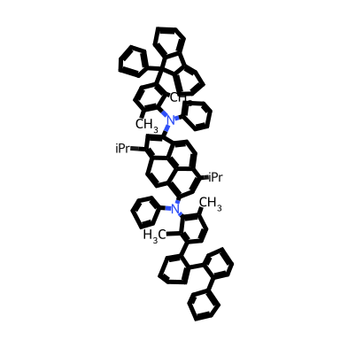 Cc1ccc(-c2ccccc2-c2ccccc2-c2ccccc2)c(C)c1N(c1ccccc1)c1cc(C(C)C)c2ccc3c(N(c4ccccc4)c4c(C)ccc(C5(c6ccccc6)c6ccccc6-c6ccccc65)c4C)cc(C(C)C)c4ccc1c2c43